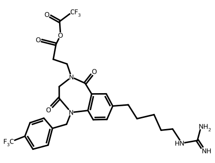 N=C(N)NCCCCCc1ccc2c(c1)C(=O)N(CCC(=O)OC(=O)C(F)(F)F)CC(=O)N2Cc1ccc(C(F)(F)F)cc1